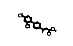 COC(=O)C=C(C)c1ccc(-c2ccc(Cl)cc2Cl)cc1